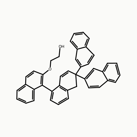 OCCOc1ccc2ccccc2c1-c1cccc2c1C=CC(c1ccc3ccccc3c1)(c1ccc3ccccc3c1)C2